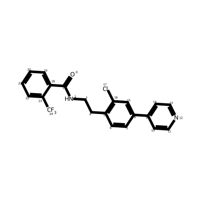 O=C(NCCc1ccc(-c2ccncc2)cc1Cl)c1ccccc1C(F)(F)F